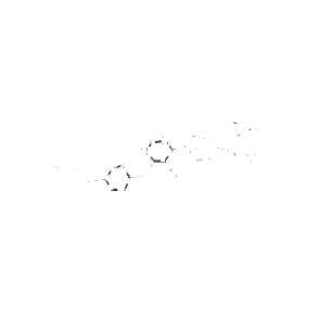 COC(C1CC1)C1CCN(c2ncnc(Oc3ccc(CCC(C)=O)cc3)c2[N+](=O)[O-])CC1